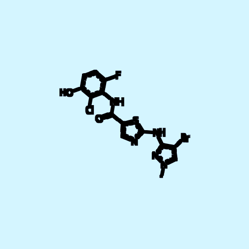 Cn1cc(Br)c(Nc2ncc(C(=O)Nc3c(F)ccc(O)c3Cl)s2)n1